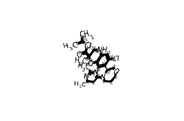 Cc1cc(N2CCCOC[C@@H]2c2cc3c(cc2Cl)NC[C@@](C)(C(=O)OC(C)C)O3)nc(C)n1